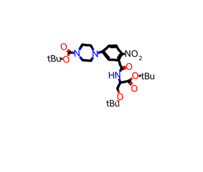 CC(C)(C)OCC(NC(=O)c1cc(N2CCN(C(=O)OC(C)(C)C)CC2)ccc1[N+](=O)[O-])C(=O)OC(C)(C)C